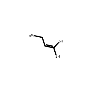 CCCCC=C(S)S